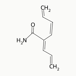 C=C/C=C\C(=C/C=C)C(N)=O